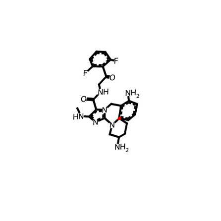 CNc1nc(N2CCCC(N)C2)n(Cc2ccccc2N)c1C(=O)NCC(=O)c1c(F)cccc1F